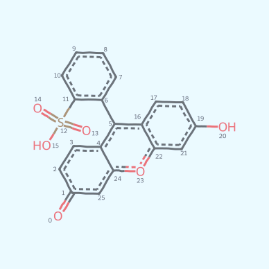 O=c1ccc2c(-c3ccccc3S(=O)(=O)O)c3ccc(O)cc3oc-2c1